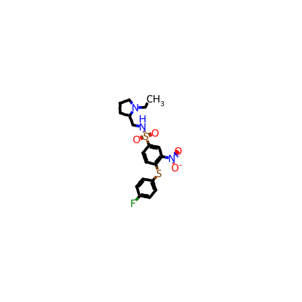 CCN1CCCC1CNS(=O)(=O)c1ccc(Sc2ccc(F)cc2)c([N+](=O)[O-])c1